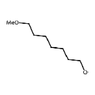 [CH2]OCCCCCCC[O]